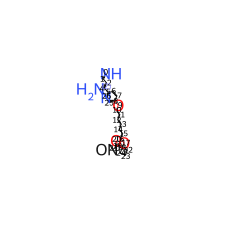 N=C/C=C(\N)c1ccc(OCCCCCCCOC2(C(=O)N=O)CCC2)cn1